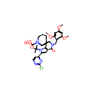 COc1cc(OC)c(CN2CC3(CCCN(C(=O)O)C3)c3c(cc(-c4ccnc(Cl)n4)n3C(C)(C)C)C2=O)c(OC)c1